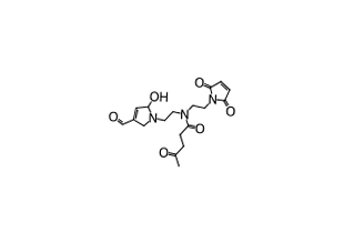 CC(=O)CCC(=O)N(CCN1C(=O)C=CC1=O)CCN1CC(C=O)=CC1O